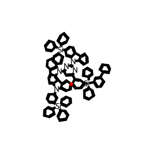 C1=Cc2c(c3ccc4c(c5ccccc5n4-c4cccc([Si](c5ccccc5)(c5ccccc5)c5ccccc5)c4)c3n2-c2cc(-c3cccc([Si](c4ccccc4)(c4ccccc4)c4cccc(-c5ccccc5)c4)c3)nc(-n3c4ccccc4c4ccc([Si](c5ccccc5)(c5ccccc5)c5ccccc5)cc43)n2)CC1